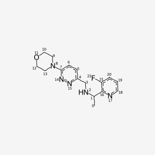 CC(NCc1ccc(N2CCOCC2)nn1)c1ncccc1F